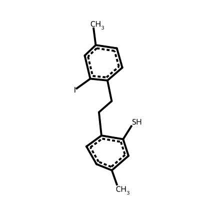 Cc1ccc(CCc2ccc(C)cc2I)c(S)c1